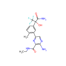 CCNC(=O)c1nc(-c2cc(C(O)(C(N)=O)C(F)(F)F)ccc2C)cnc1N